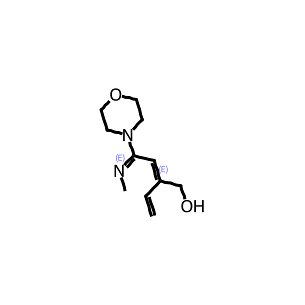 C=C/C(=C\C(=N/C)N1CCOCC1)CO